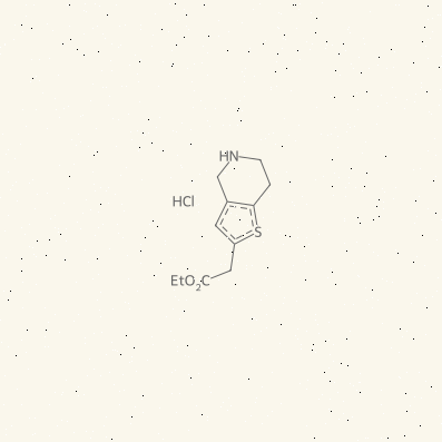 CCOC(=O)Cc1cc2c(s1)CCNC2.Cl